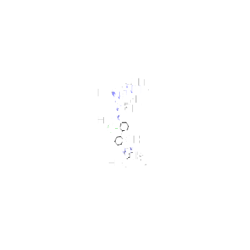 C=C(C)/C=C(\C=C/C)c1cccc(-c2cccc(/C(C)=C/C=C(/CN(C)CC3CCC(=C)N3)C(=C)C)c2Cl)c1C